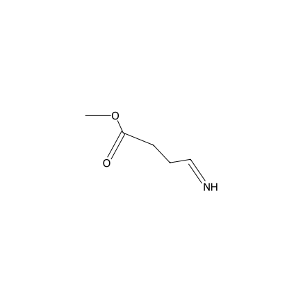 COC(=O)CCC=N